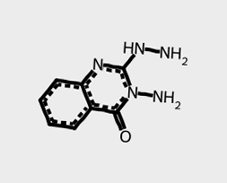 NNc1nc2ccccc2c(=O)n1N